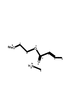 CC=CC(=O)OCCOC.CN